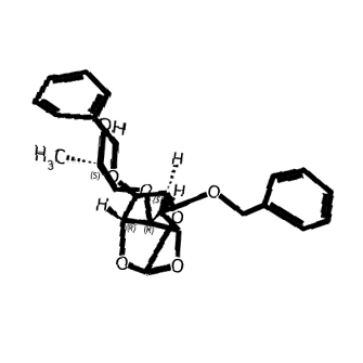 C[C@H](O)CO[C@@H]1C2OC3O[C@@H](C2OCc2ccccc2)C(OCc2ccccc2)[C@H]1O3